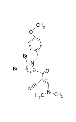 COc1ccc(Cn2c(C(=O)/C(C#N)=C/N(C)C)cc(Br)c2Br)cc1